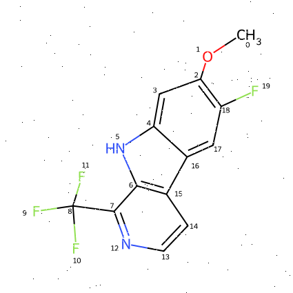 COc1cc2[nH]c3c(C(F)(F)F)nccc3c2cc1F